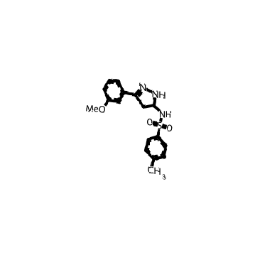 COc1cccc(C2=NNC(NS(=O)(=O)c3ccc(C)cc3)C2)c1